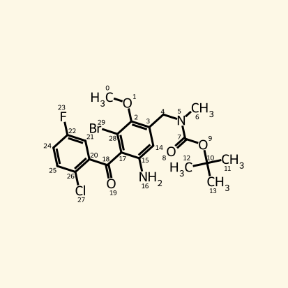 COc1c(CN(C)C(=O)OC(C)(C)C)cc(N)c(C(=O)c2cc(F)ccc2Cl)c1Br